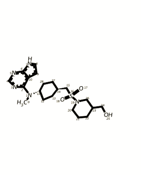 CN(c1ncnc2[nH]ccc12)[C@H]1CC[C@H](CS(=O)(=O)N2CCCC(CO)C2)CC1